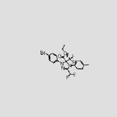 CCOC(=O)C1(C(F)(F)F)N(c2ccc(Br)cc2)N=C(C(F)F)N1c1ccc(C)cc1